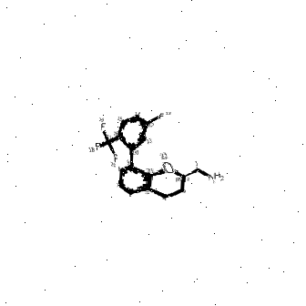 NC[C@H]1CCc2cccc(-c3cc(F)ccc3C(F)(F)F)c2O1